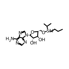 CCCC[SiH](OC[C@H]1O[C@@H](n2cnc3c(N)ncnc32)[C@@H](O)[C@@H]1O)C(C)C